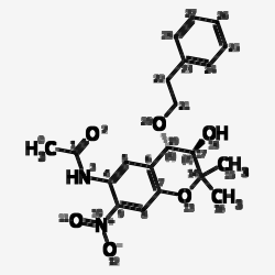 CC(=O)Nc1cc2c(cc1[N+](=O)[O-])OC(C)(C)[C@H](O)[C@H]2OCCc1ccccc1